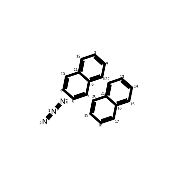 [N-]=[N+]=[N-].c1ccc2ccccc2c1.c1ccc2ccccc2c1